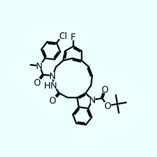 CN(C(=O)N1Cc2cc(F)cc(c2)C=CCc2c(c3ccccc3n2C(=O)OC(C)(C)C)CC(=O)N1)c1ccc(Cl)cc1